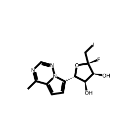 Cc1ncnn2c([C@@H]3O[C@](F)(CI)[C@@H](O)[C@H]3O)ccc12